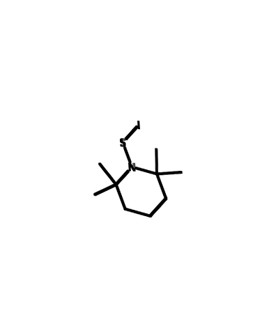 CC1(C)CCCC(C)(C)N1SI